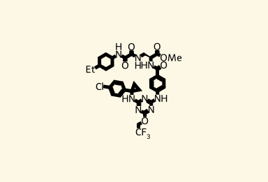 CCC1CCC(NC(=O)C(=O)NC[C@H](NC(=O)c2ccc(Nc3nc(NC4(c5ccc(Cl)cc5)CC4)nc(OCC(F)(F)F)n3)cc2)C(=O)OC)CC1